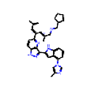 C=C(C)/C=C(\C=C(/C)CNCC1CCCC1)c1ccc2[nH]nc(-c3cc4c(-n5cnc(C)c5)cccc4[nH]3)c2n1